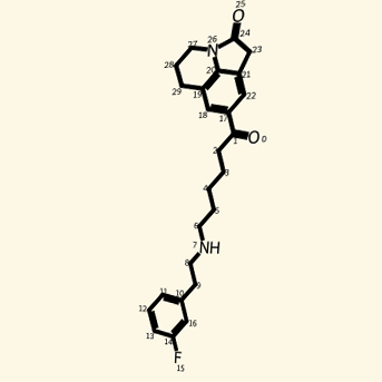 O=C(CCCCCNCCc1cccc(F)c1)c1cc2c3c(c1)CC(=O)N3CCC2